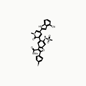 CNC(=O)c1c(-c2ccc(F)cc2)oc2cc(N(C)S(C)(=O)=O)c(-c3cc(-c4cc5c(C#N)cccc5[nH]4)cn(C)c3=O)cc12